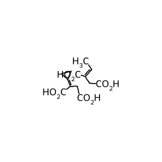 CC=C(CC(=O)O)C(=O)O.O=C(O)CC(C(=O)O)=C1CC1